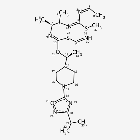 C/C=N\C(=N/C(C)[C@H](C)/N=C(/O[C@@H](C)C1CCN(c2nc(C(C)C)no2)CC1)SC=N)SC